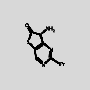 CC(C)c1ncc2sc(=O)n(N)c2n1